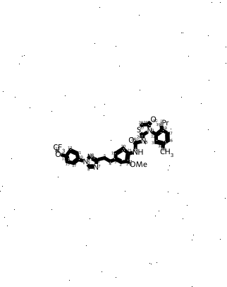 COc1cc(CCc2ncn(-c3ccc(OC(F)(F)F)cc3)n2)ccc1NC(=O)N=C1SCC(=O)N1c1cc(C)ccc1C(C)C